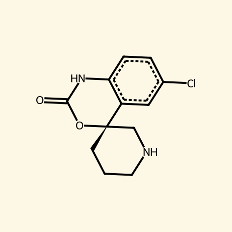 O=C1Nc2ccc(Cl)cc2[C@@]2(CCCNC2)O1